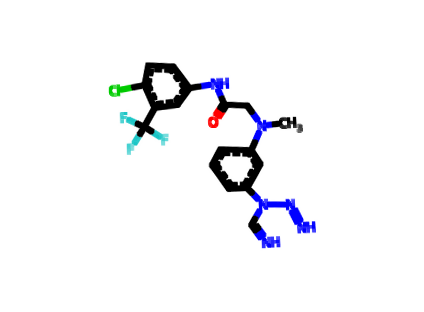 CN(CC(=O)Nc1ccc(Cl)c(C(F)(F)F)c1)c1cccc(N(C=N)N=N)c1